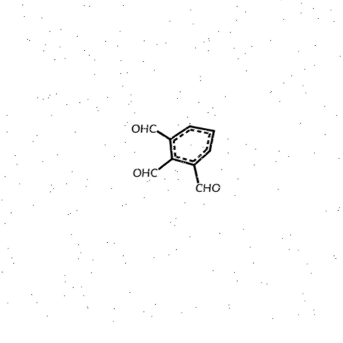 O=Cc1[c]ccc(C=O)c1C=O